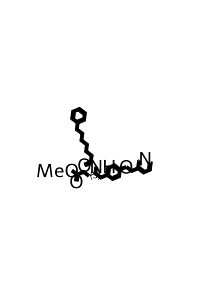 COC(=O)CC[C@@H](Cc1ccc(OCc2cccnc2)cc1)NC(=O)CCCCCCc1ccccc1